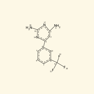 Nc1cc(-c2cccc(C(F)(F)F)c2)nc(N)n1